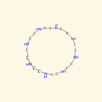 C1CNCCNCCNCCNCCNCCNCCNCCN1